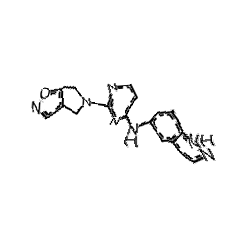 c1cc(Nc2ccc3[nH]ncc3c2)nc(N2Cc3cnoc3C2)n1